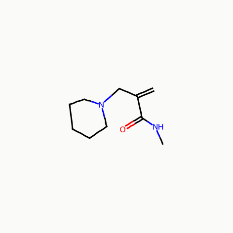 C=C(CN1CCCCC1)C(=O)NC